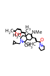 C=C(O)/C=C\C(C)=C(/C)C12CCN(CC3CC3)C(C)C1CC(/C=C(\C=O)C(=O)N1CCCC1)=C(NC)C2